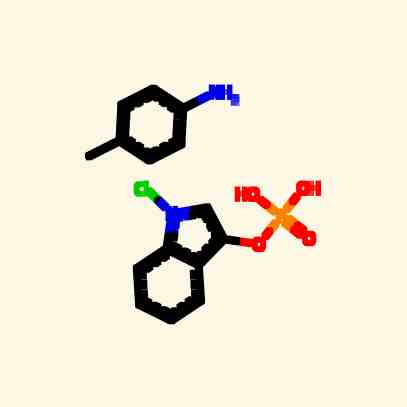 Cc1ccc(N)cc1.O=P(O)(O)Oc1cn(Cl)c2ccccc12